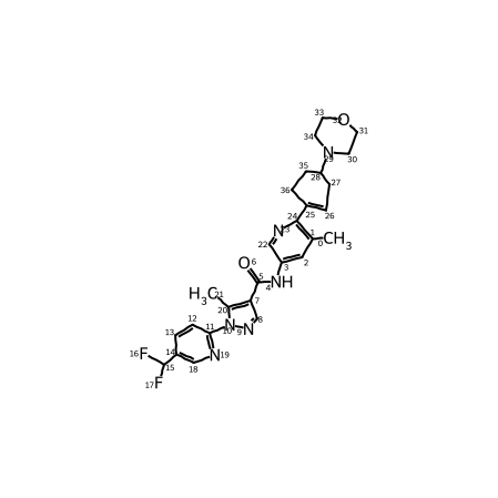 Cc1cc(NC(=O)c2cnn(-c3ccc(C(F)F)cn3)c2C)cnc1C1=CCC(N2CCOCC2)CC1